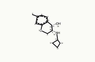 Cc1ccc2c(c1)OC[C@@H](NC1CCC1)[C@H]2O